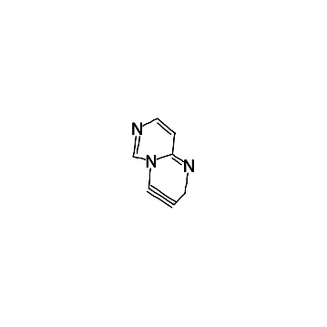 C1#CN2C=NC=CC2=NC1